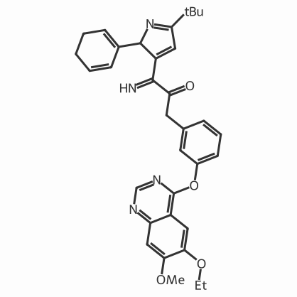 CCOc1cc2c(Oc3cccc(CC(=O)C(=N)C4=CC(C(C)(C)C)=NC4C4=CCCC=C4)c3)ncnc2cc1OC